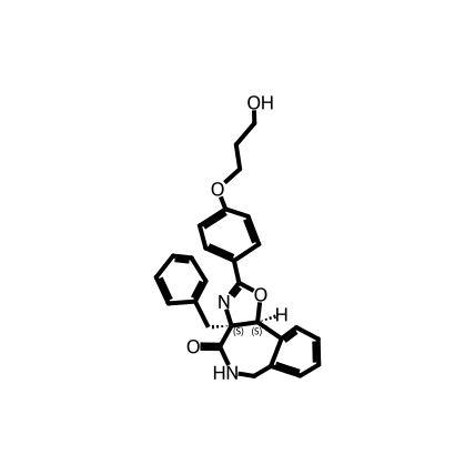 O=C1NCc2ccccc2[C@@H]2OC(c3ccc(OCCCO)cc3)=N[C@]12Cc1ccccc1